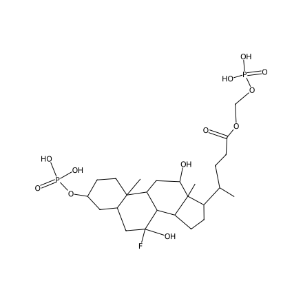 CC(CCC(=O)OCOP(=O)(O)O)C1CCC2C3C(CC(O)C12C)C1(C)CCC(OP(=O)(O)O)CC1CC3(O)F